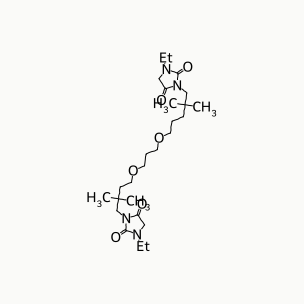 CCN1CC(=O)N(CC(C)(C)CCCOCCCOCCC(C)(C)CN2C(=O)CN(CC)C2=O)C1=O